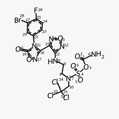 NC(=O)OS(=O)(=O)N(CCNc1nonc1-c1noc(=O)n1-c1ccc(F)c(Br)c1)CC(Cl)(Cl)Cl